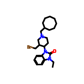 CCn1c(=O)n(C2CCN(CC3CCCCCCC3)CC2CBr)c2ccccc21